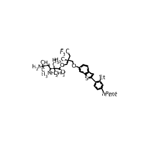 CCCCCc1ccc(-c2cc3ccc(OCC(C)(COC(=O)C(C)(C)C(N)CC(C)(C)N)CC(F)(F)F)cc3s2)c(CC)c1